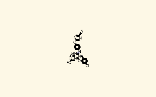 COC(=O)Cn1c(=O)[nH]/c(=N\c2ccc(Oc3cnc(C#N)cn3)cc2)n(Cc2ccc(Cl)cc2)c1=O